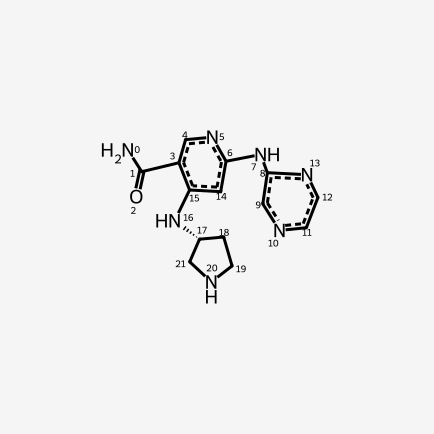 NC(=O)c1cnc(Nc2cnccn2)cc1N[C@@H]1CCNC1